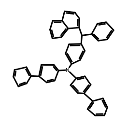 c1ccc(-c2ccc(N(c3ccc(-c4ccccc4)cc3)c3ccc(C(c4ccccc4)c4cccc5ccccc45)cc3)cc2)cc1